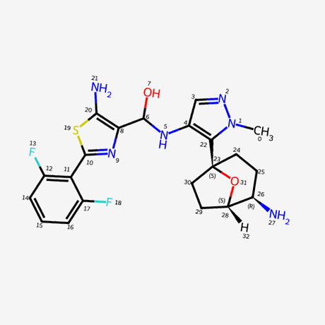 Cn1ncc(NC(O)c2nc(-c3c(F)cccc3F)sc2N)c1[C@]12CC[C@@H](N)[C@H](CC1)O2